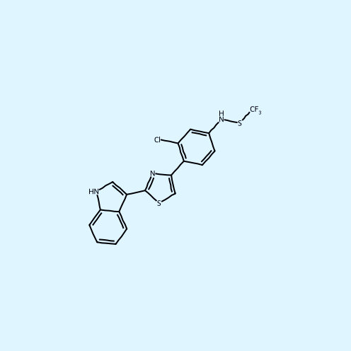 FC(F)(F)SNc1ccc(-c2csc(-c3c[nH]c4ccccc34)n2)c(Cl)c1